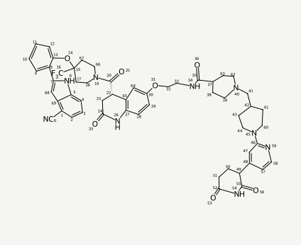 N#Cc1cccc2[nH]c(-c3ccccc3OC3(C(F)(F)F)CCN(C(=O)[C@H]4CC(=O)Nc5ccc(OCCNC(=O)C6CCN(CC7CCN(c8cc(C9CCC(=O)NC9=O)ccn8)CC7)CC6)cc54)CC3)cc12